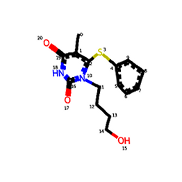 Cc1c(Sc2ccccc2)n(CCCCO)c(=O)[nH]c1=O